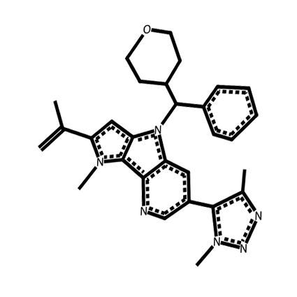 C=C(C)c1cc2c(c3ncc(-c4c(C)nnn4C)cc3n2C(c2ccccc2)C2CCOCC2)n1C